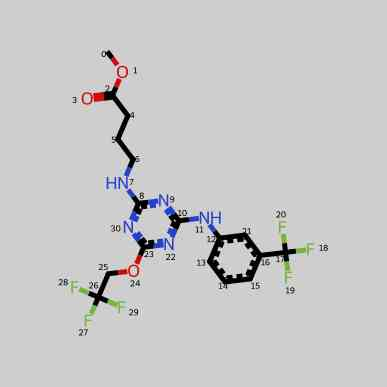 COC(=O)CCCNc1nc(Nc2cccc(C(F)(F)F)c2)nc(OCC(F)(F)F)n1